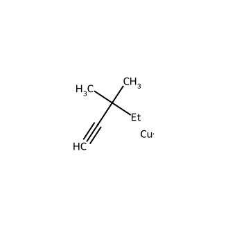 C#CC(C)(C)CC.[Cu]